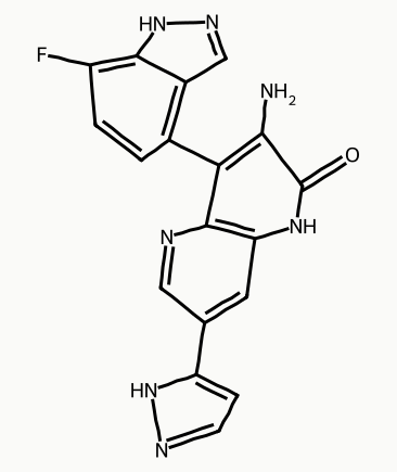 Nc1c(-c2ccc(F)c3[nH]ncc23)c2ncc(-c3ccn[nH]3)cc2[nH]c1=O